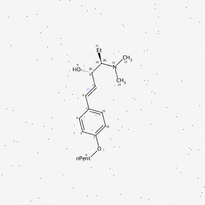 CCCCCOc1ccc(/C=C/[C@H](O)[C@@H](CC)N(C)C)cc1